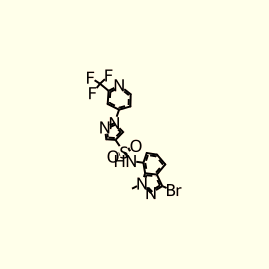 Cn1nc(Br)c2cccc(NS(=O)(=O)c3cnn(-c4ccnc(C(F)(F)F)c4)c3)c21